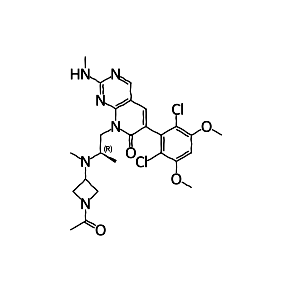 CNc1ncc2cc(-c3c(Cl)c(OC)cc(OC)c3Cl)c(=O)n(C[C@@H](C)N(C)C3CN(C(C)=O)C3)c2n1